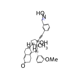 COc1cccc([C@H]2C[C@@]3(C)[C@@H](CC[C@@]3(O)C#Cc3cccc(/C=N/O)c3)[C@@H]3CCC4=CC(=O)CCC4=C32)c1